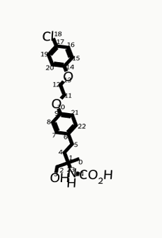 CC(CO)(CCc1ccc(OCCOc2ccc(Cl)cc2)cc1)NC(=O)O